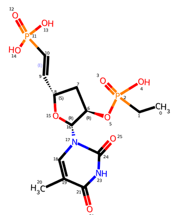 CCP(=O)(O)O[C@@H]1C[C@@H](/C=C/P(=O)(O)O)O[C@H]1n1cc(C)c(=O)[nH]c1=O